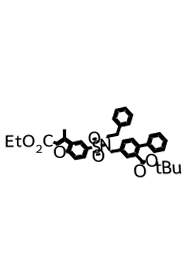 CCOC(=O)c1oc2ccc(S(=O)(=O)N(CCc3ccccc3)Cc3ccc(-c4ccccc4)c(C(=O)OC(C)(C)C)c3)cc2c1C